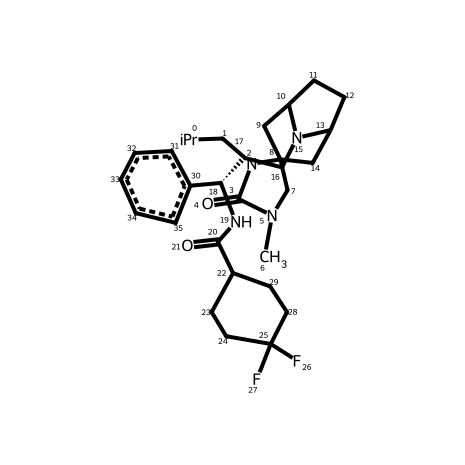 CC(C)CN1C(=O)N(C)CC12CC1CCC(C2)N1CC[C@H](NC(=O)C1CCC(F)(F)CC1)c1ccccc1